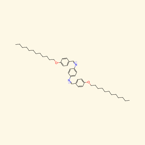 CCCCCCCCCCCCOc1ccc(/C=N\c2ccc(/N=C\c3ccc(OCCCCCCCCCCCC)cc3)cc2)cc1